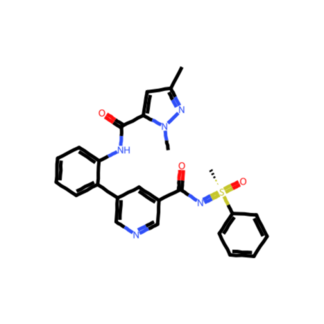 Cc1cc(C(=O)Nc2ccccc2-c2cncc(C(=O)N=[S@@](C)(=O)c3ccccc3)c2)n(C)n1